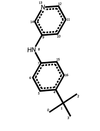 CC(C)(C)c1ccc(Nc2cccnc2)cc1